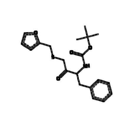 CC(C)(C)OC(=O)NC(Cc1ccccc1)C(=O)CSCc1ccco1